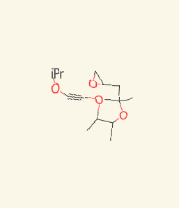 CC(C)OC#COC(C)C(C)OC(C)(C)CC1CO1